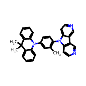 Cc1cc(N2c3ccccc3C(C)(C)c3ccccc32)ccc1-n1c2ccncc2c2cnccc21